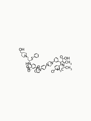 Cc1c(C(=O)O)c(-c2cccc(N3CCN(c4ccc(N5C=CO[P@]5(=O)c5ccc(NC(CCN6CCC(CO)CC6)CSc6ccccc6)c([N+](=O)[O-])c5)cc4)CC3)c2)c(-c2ccc(Cl)cc2)n1C(C)C